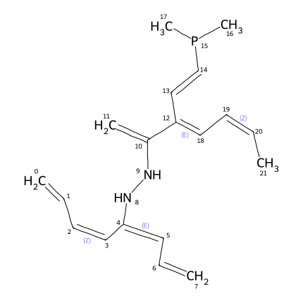 C=C/C=C\C(=C/C=C)NNC(=C)/C(C=CP(C)C)=C/C=C\C